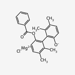 Cc1ccc([O-])c(-c2c(OC(=O)c3ccccc3)ccc(C)c2C)c1C.[Cl-].[Mg+2]